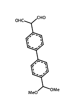 COC(OC)c1ccc(-c2ccc(C(C=O)C=O)cc2)cc1